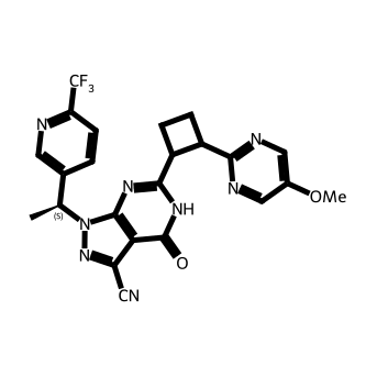 COc1cnc(C2CCC2c2nc3c(c(C#N)nn3[C@@H](C)c3ccc(C(F)(F)F)nc3)c(=O)[nH]2)nc1